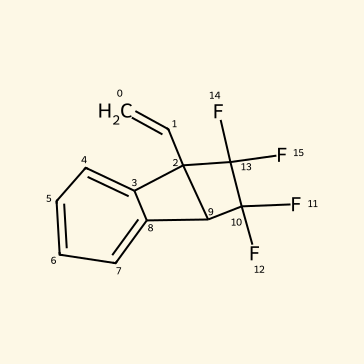 C=CC12c3ccccc3C1C(F)(F)C2(F)F